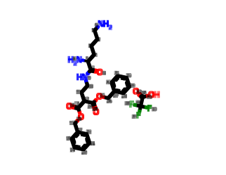 NCCCC[C@H](N)C(=O)NCCC(C(=O)OCc1ccccc1)C(=O)OCc1ccccc1.O=C(O)C(F)(F)F